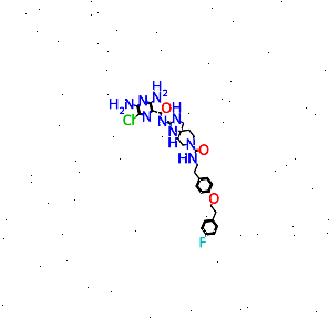 Nc1nc(N)c(C(=O)/N=C2\NCC3(CCN(C(=O)NCCc4ccc(OCCc5ccc(F)cc5)cc4)CC3)N2)nc1Cl